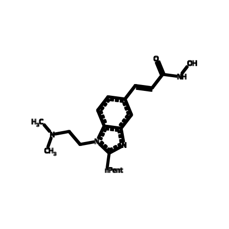 CCCCCc1nc2cc(C=CC(=O)NO)ccc2n1CCN(C)C